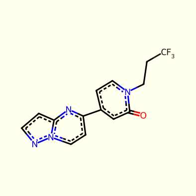 O=c1cc(-c2ccn3nccc3n2)ccn1CCC(F)(F)F